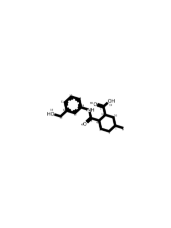 CC1CCC(C(=O)Nc2cccc(CO)c2)C(C(=O)O)C1